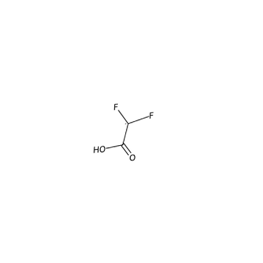 O=C(O)[C](F)F